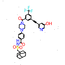 O=C(NS(=O)(=O)CC12CC3CC(CC(C3)C1)C2)c1ccc(N2CCN(C(=O)c3cc(C#Cc4cncc(O)c4)cc(C(F)(F)F)c3)CC2)cc1